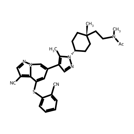 CC(=O)N(C)CC[C@]1(C)CC[C@H](n2ncc(-c3cc(Sc4ccccc4C#N)c4c(C#N)cnn4c3)c2C)CC1